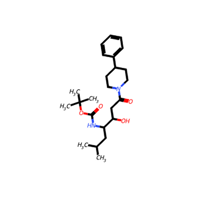 CC(C)CC(NC(=O)OC(C)(C)C)C(O)CC(=O)N1CCC(c2ccccc2)CC1